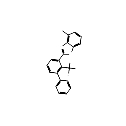 Cc1cccc2sc(-c3cccc(-c4ccccc4)c3C(F)(F)F)nc12